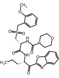 CCC[C@H](NC(=O)[C@H](CS(=O)(=O)Cc1ccccc1OC)NC(=O)N1CCOCC1)C(=O)c1nc2ccccc2o1